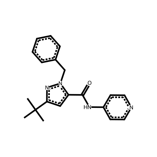 CC(C)(C)c1cc(C(=O)Nc2ccncc2)n(Cc2ccccc2)n1